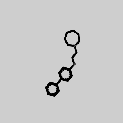 c1ccc(-c2ccc(OCCN3CCCCCC3)cc2)cc1